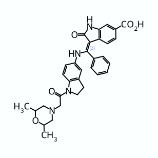 CC1CN(CC(=O)N2CCc3cc(N/C(=C4\C(=O)Nc5cc(C(=O)O)ccc54)c4ccccc4)ccc32)CC(C)O1